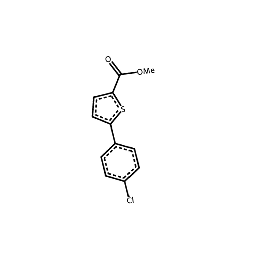 COC(=O)c1ccc(-c2ccc(Cl)cc2)s1